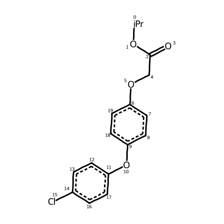 CC(C)OC(=O)COc1ccc(Oc2ccc(Cl)cc2)cc1